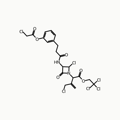 C=C(CCl)C(C(=O)OCC(Cl)(Cl)Cl)N1C(=O)C(NC(=O)CCc2cccc(OC(=O)CCl)c2)C1Cl